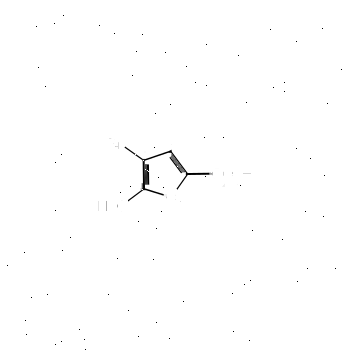 Cc1oc(C(=O)O)cc1Br